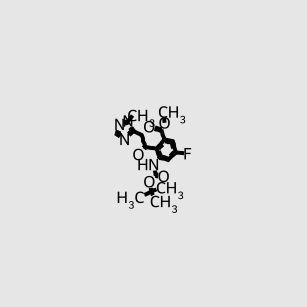 COC(=O)c1cc(F)cc(NC(=O)OC(C)(C)C)c1C(=O)Cc1ncnn1C